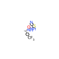 Cc1sc2cnccc2c1NC(=O)NCC(C)c1ccc(C(F)(F)F)cc1